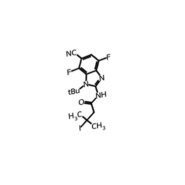 CC(C)(I)CC(=O)Nc1nc2c(F)cc(C#N)c(F)c2n1C(C)(C)C